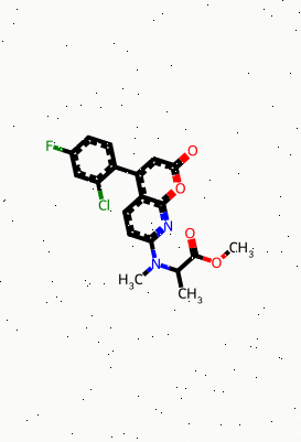 COC(=O)C(C)N(C)c1ccc2c(-c3ccc(F)cc3Cl)cc(=O)oc2n1